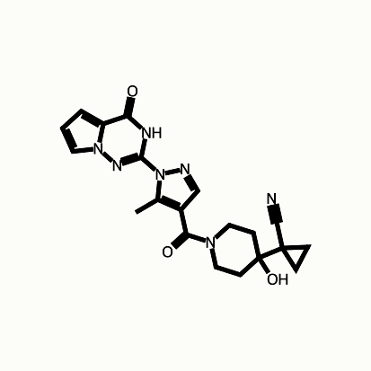 Cc1c(C(=O)N2CCC(O)(C3(C#N)CC3)CC2)cnn1-c1nn2cccc2c(=O)[nH]1